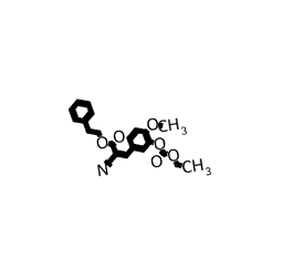 CCOC(=O)Oc1cc(C=C(C#N)C(=O)OCCc2ccccc2)ccc1OC